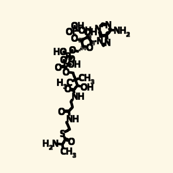 CC(N)C(=O)SCCNC(=O)CCNC(=O)C(O)C(C)(C)COP(=O)(O)OP(=O)(O)OC[C@H]1O[C@@H](n2cnc3c(N)ncnc32)[C@H](O)[C@@H]1OP(=O)(O)O